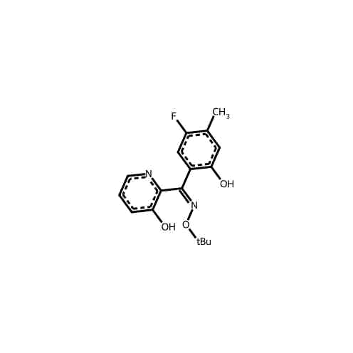 Cc1cc(O)c(C(=NOC(C)(C)C)c2ncccc2O)cc1F